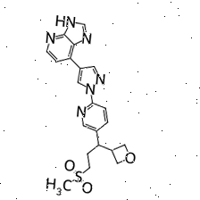 CS(=O)(=O)CCC(c1ccc(-n2cc(-c3ccnc4[nH]cnc34)cn2)nc1)C1COC1